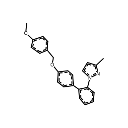 COc1ccc(COc2ccc(-c3ccccc3-n3ccc(C)n3)cc2)cc1